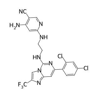 N#Cc1cnc(NCCNc2nc(-c3ccc(Cl)cc3Cl)cc3nc(C(F)(F)F)cn23)cc1N